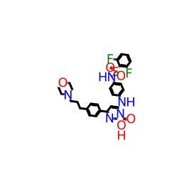 O=CO.O=S(=O)(Nc1ccc(Nc2cc(-c3ccc(CCCN4CCOCC4)cc3)ncn2)cc1)c1c(F)cccc1F